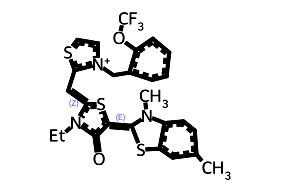 CCn1c(=O)/c(=C2\Sc3cc(C)ccc3N2C)s/c1=C\c1scc[n+]1Cc1ccccc1OC(F)(F)F